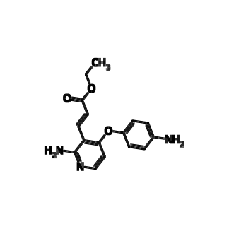 CCOC(=O)C=Cc1c(Oc2ccc(N)cc2)ccnc1N